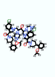 CC(C)Oc1ccccc1C1CCN(C(=O)c2cn(CC(C(=O)C(Cn3cc(C(=O)N4CCC(c5ccccc5OC(C)C)CC4)c4ccc(Cl)cc43)N3CCN(C)CC3)N3CCN(C)CC3)c3cc(Cl)ccc23)CC1